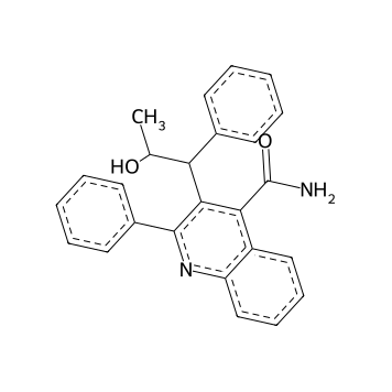 CC(O)C(c1ccccc1)c1c(-c2ccccc2)nc2ccccc2c1C(N)=O